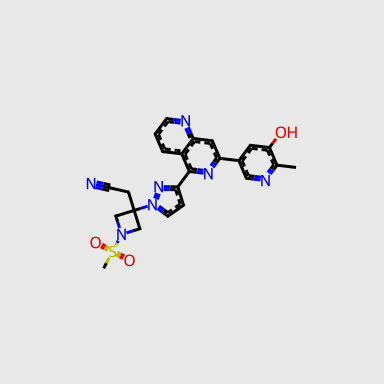 Cc1ncc(-c2cc3ncccc3c(-c3ccn(C4(CC#N)CN(S(C)(=O)=O)C4)n3)n2)cc1O